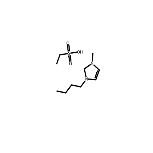 CCCCN1C=CN(C)C1.CCS(=O)(=O)O